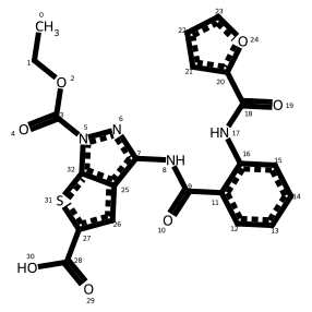 CCOC(=O)n1nc(NC(=O)c2ccccc2NC(=O)c2ccco2)c2cc(C(=O)O)sc21